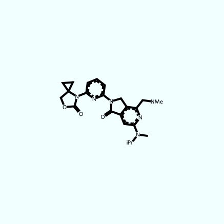 CNCc1nc(N(C)C(C)C)cc2c1CN(c1cccc(N3C(=O)OCC34CC4)n1)C2=O